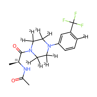 [2H]c1ccc(N2C([2H])([2H])C([2H])([2H])N(C(=O)[C@H](C)NC(C)=O)C([2H])([2H])C2([2H])[2H])cc1C(F)(F)F